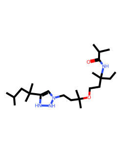 CCC(C)(CCOC(C)(C)CCN1C=C(C(C)(C)CC(C)C)NN1)NC(=O)C(C)C